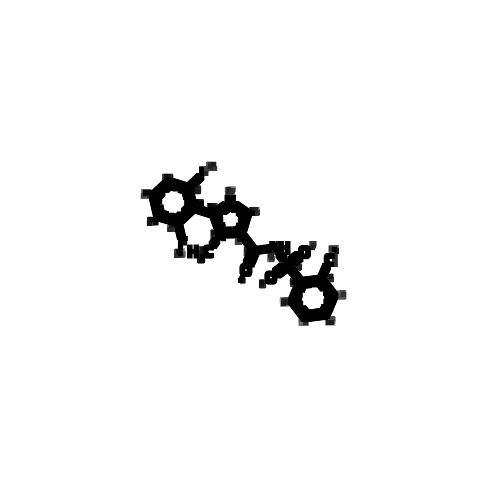 Cn1c(C(=O)NS(=O)(=O)c2ccccc2Cl)cnc1-c1c(F)cccc1F